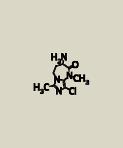 Cc1nc(Cl)c2n1CCC(N)C(=O)N2C